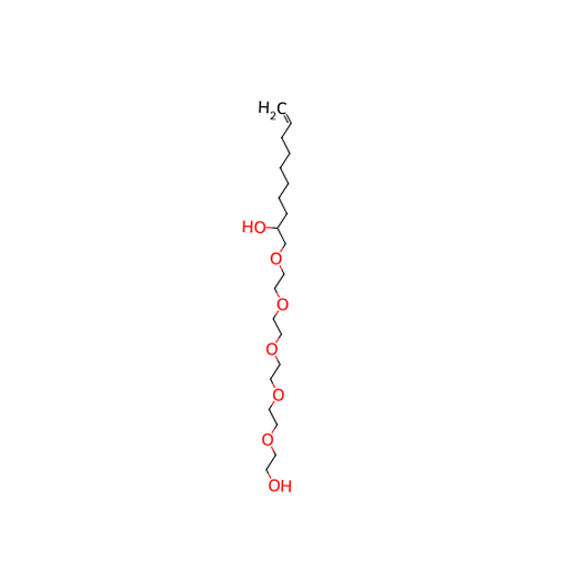 C=CCCCCCCC(O)COCCOCCOCCOCCOCCO